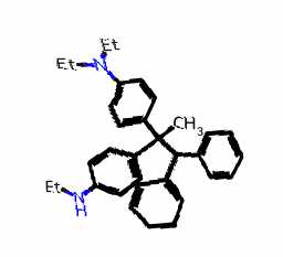 CCNc1ccc(C(C)(c2ccc(N(CC)CC)cc2)C(C2=CCCC=C2)c2ccccc2)cc1